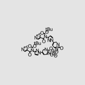 CC(C)(C)OC(=O)N(C(=O)c1cncs1)c1ccn(C2=CC3CN(C2)C(=O)N3OS(=O)(=O)ON2C(=O)N3CC(n4ccc(N(C(=O)OC(C)(C)C)C(=O)c5cncs5)n4)=CC2C3)n1